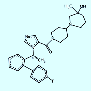 C[C@@H](c1ccccc1-c1ccc(F)cc1)n1cncc1C(=O)N1CCC(N2CCCC(C)(O)C2)CC1